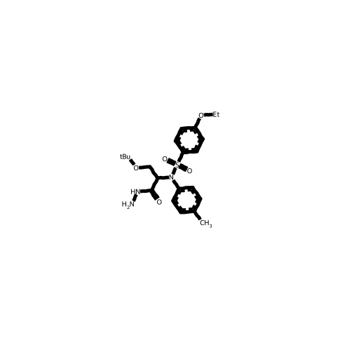 CCOc1ccc(S(=O)(=O)N(c2ccc(C)cc2)C(COC(C)(C)C)C(=O)NN)cc1